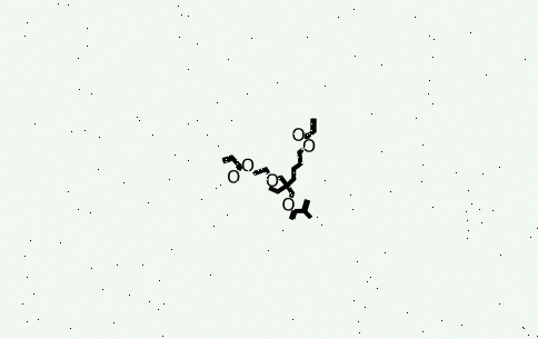 C=CC(=O)OCCCCC(CC)(COCCOC(=O)C=C)COC(=C)C(=C)C